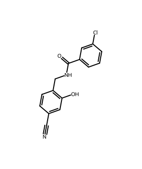 N#Cc1ccc(CNC(=O)c2cccc(Cl)c2)c(O)c1